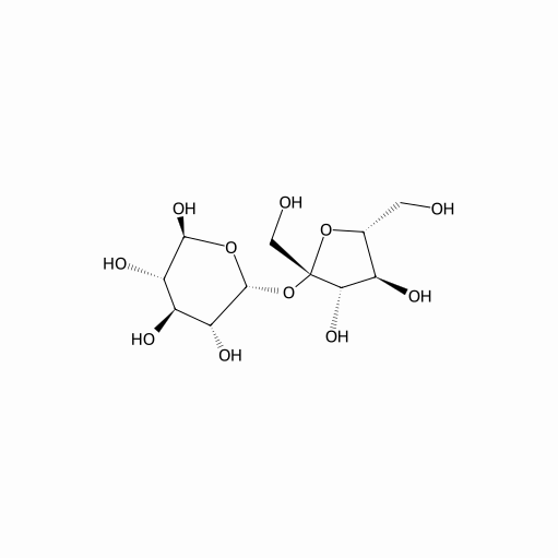 OC[C@H]1O[C@@](CO)(O[C@H]2O[C@H](O)[C@@H](O)[C@H](O)[C@H]2O)[C@@H](O)[C@@H]1O